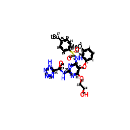 COc1cccc(Oc2c(NS(=O)(=O)c3ccc(C(C)(C)C)cc3)nc(NC(=O)c3nnn[nH]3)nc2OCCO)c1